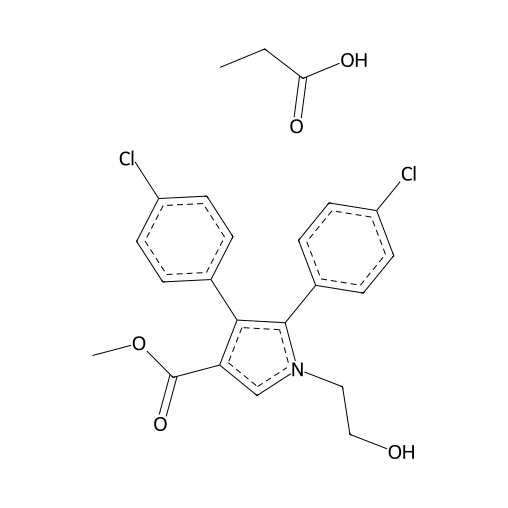 CCC(=O)O.COC(=O)c1cn(CCO)c(-c2ccc(Cl)cc2)c1-c1ccc(Cl)cc1